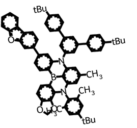 Cc1cc2c3c(c1)N(c1c(C)cc(C(C)(C)C)cc1C)c1c(ccc4c1OCO4)B3c1ccc(-c3ccc4c(c3)oc3ccccc34)cc1N2c1cc(-c2ccc(C(C)(C)C)cc2)cc(-c2ccc(C(C)(C)C)cc2)c1